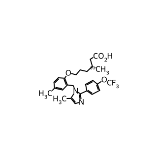 Cc1ccc(OCCC[C@@H](C)CC(=O)O)c(Cn2c(C)cnc2-c2ccc(OC(F)(F)F)cc2)c1